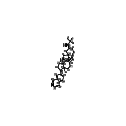 CC(C)(C)N[C@H]1CCC2=CC3=CCC4(C)C(c5ccc6ccncc6c5)CC[C@H]4[C@@]34CC[C@]2(C1)O4